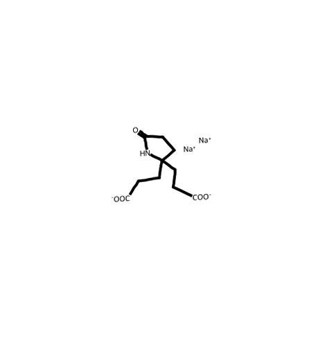 O=C([O-])CCC1(CCC(=O)[O-])CCC(=O)N1.[Na+].[Na+]